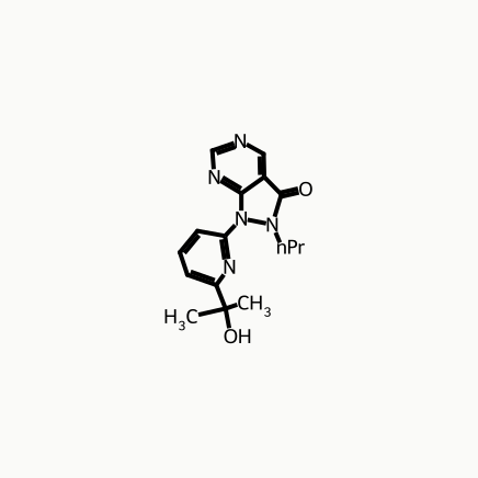 CCCn1c(=O)c2cncnc2n1-c1cccc(C(C)(C)O)n1